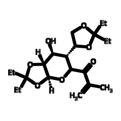 C=C(C)C(=O)C1O[C@H]2OC(CC)(CC)O[C@@H]2[C@@H](O)[C@@H]1C1COC(CC)(CC)O1